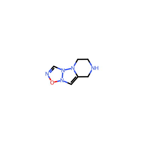 C1=NON2C=C3CNCCN3N12